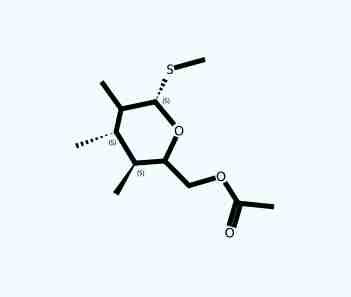 CS[C@@H]1OC(COC(C)=O)[C@@H](C)[C@H](C)C1C